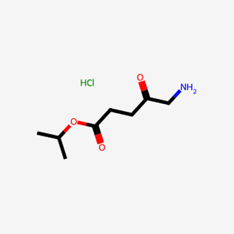 CC(C)OC(=O)CCC(=O)CN.Cl